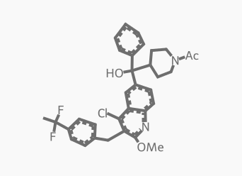 COc1nc2ccc(C(O)(c3ccccc3)C3CCN(C(C)=O)CC3)cc2c(Cl)c1Cc1ccc(C(C)(F)F)cc1